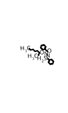 CCCCCC(CC)Oc1ccccc1C(=O)N=N[SiH2]c1ccccc1